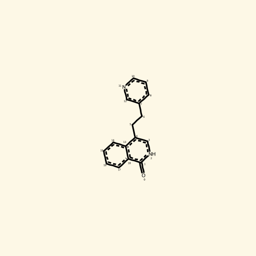 O=c1[nH]cc(CCc2cccnc2)c2ccccc12